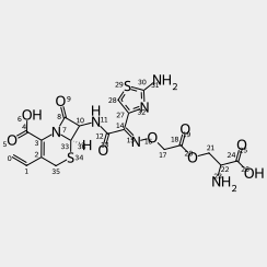 C=CC1=C(C(=O)O)N2C(=O)C(NC(=O)/C(=N/OCC(=O)OCC(N)C(=O)O)c3csc(N)n3)[C@H]2SC1